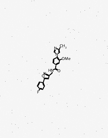 COc1cc(C(=O)NCc2cc(-c3ccc(F)cc3)on2)ccc1-n1cnc(C)c1